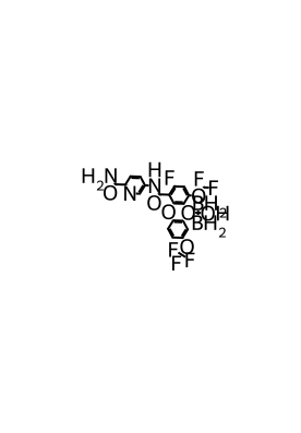 BC(B)(O)Oc1cc(OC(F)(F)F)ccc1Oc1cc(OC(F)F)cc(F)c1C(=O)Nc1ccc(C(N)=O)nc1